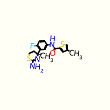 Cc1csc(C(=O)Nc2ccc(F)c([C@]3(C)CCSC(N)=N3)c2)c1